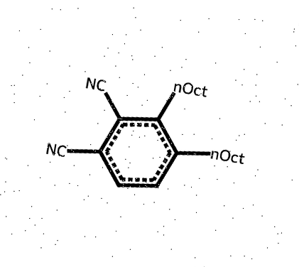 CCCCCCCCc1ccc(C#N)c(C#N)c1CCCCCCCC